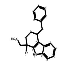 CCC1(CC(=O)O)CCC(Cc2ccccc2)c2c1[nH]c1ccccc21